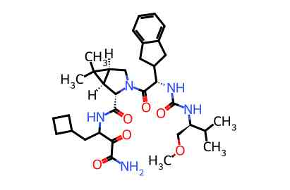 COC[C@@H](NC(=O)N[C@H](C(=O)N1C[C@H]2[C@@H]([C@H]1C(=O)NC(CC1CCC1)C(=O)C(N)=O)C2(C)C)C1Cc2ccccc2C1)C(C)C